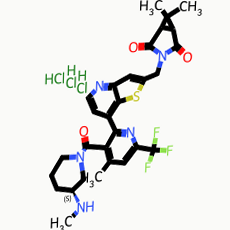 CN[C@H]1CCCN(C(=O)c2c(C)cc(C(F)(F)F)nc2-c2ccnc3cc(CN4C(=O)C5C(C4=O)C5(C)C)sc23)C1.Cl.Cl.Cl